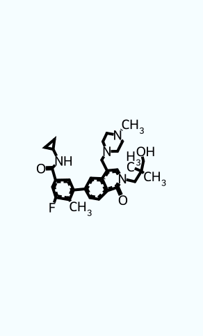 Cc1c(F)cc(C(=O)NC2CC2)cc1-c1ccc2c(=O)n(CC(C)(C)CO)cc(CN3CCN(C)CC3)c2c1